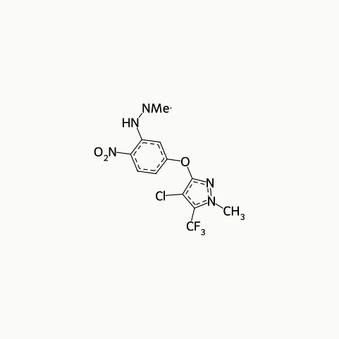 C[N]Nc1cc(Oc2nn(C)c(C(F)(F)F)c2Cl)ccc1[N+](=O)[O-]